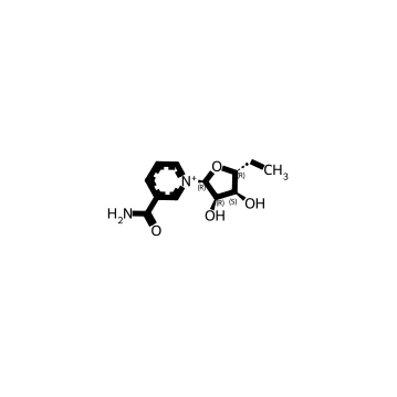 CC[C@H]1O[C@@H]([n+]2cccc(C(N)=O)c2)[C@H](O)[C@@H]1O